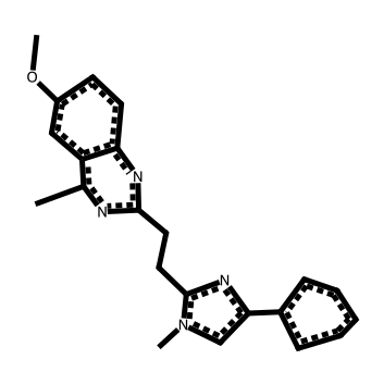 COc1ccc2nc(CCc3nc(-c4ccccc4)cn3C)nc(C)c2c1